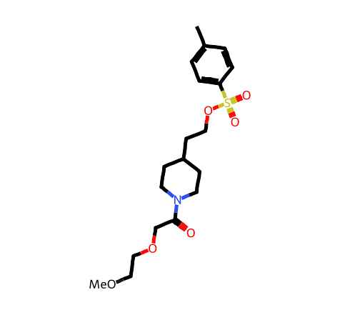 COCCOCC(=O)N1CCC(CCOS(=O)(=O)c2ccc(C)cc2)CC1